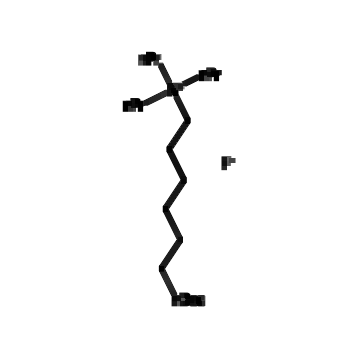 CCCCCCCCCCCCCCCC[N+](CCC)(CCC)CCC.[F-]